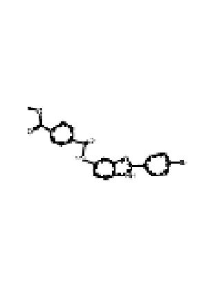 COC(=O)c1ccc(C(=O)Nc2ccc3[nH]c(-c4ccc(Br)cc4)nc3c2)cc1